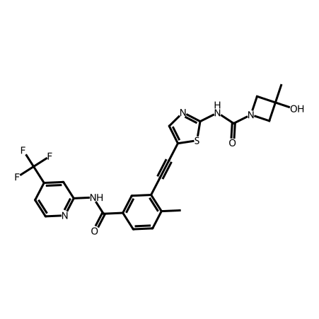 Cc1ccc(C(=O)Nc2cc(C(F)(F)F)ccn2)cc1C#Cc1cnc(NC(=O)N2CC(C)(O)C2)s1